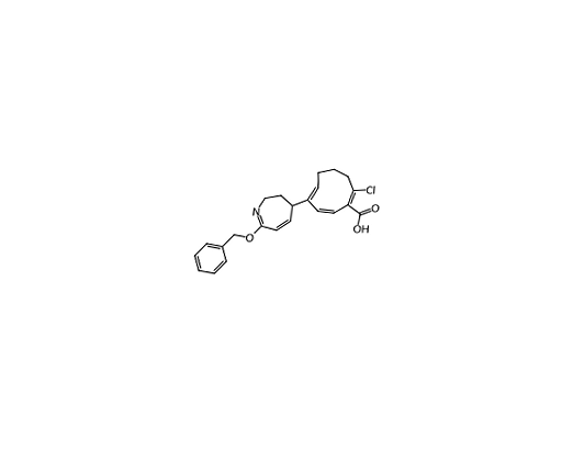 O=C(O)C1=C(\Cl)CCC/C=C(C2C=CC(OCc3ccccc3)=NCC2)/C=C\1